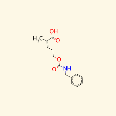 CC(=CCCOC(=O)NCc1ccccc1)C(=O)O